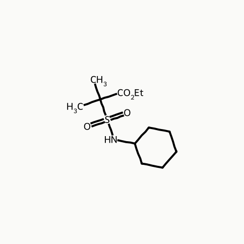 CCOC(=O)C(C)(C)S(=O)(=O)NC1CCCCC1